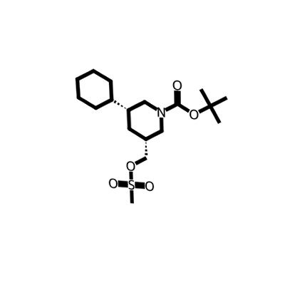 CC(C)(C)OC(=O)N1C[C@H](COS(C)(=O)=O)C[C@H](C2CCCCC2)C1